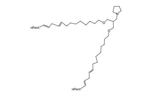 CCCCCC=CCC=CCCCCCCCCOCC(COCCCCCCCCC=CCC=CCCCCC)CN1CCCC1